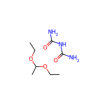 CCOC(C)OCC.NC(=O)NC(N)=O